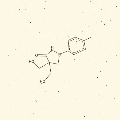 Cc1ccc(N2CC(CO)(CO)C(=O)N2)cc1